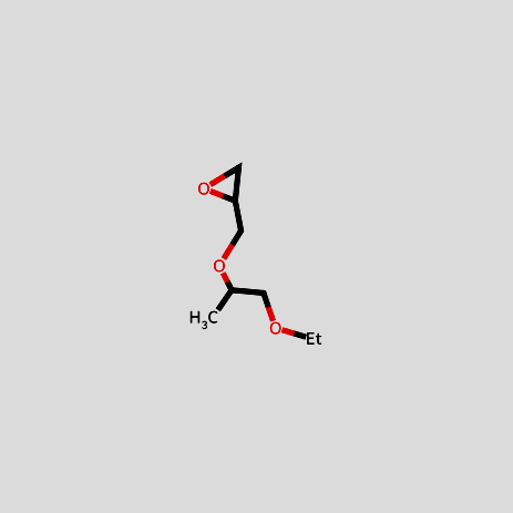 [CH2]COCC(C)OCC1CO1